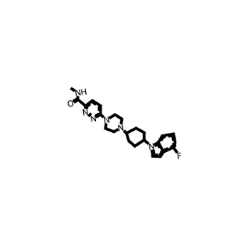 CNC(=O)c1ccc(N2CCN(C3CCC(n4ccc5c(F)cccc54)CC3)CC2)nn1